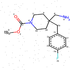 CC(C)(C)OC(=O)N1CCC(CN)(Cc2ccc(F)cc2)CC1